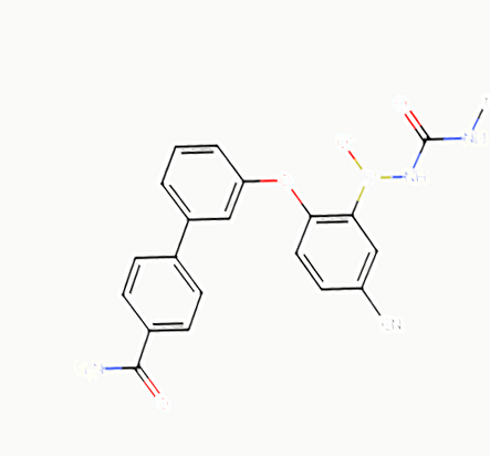 CC(C)(C)NC(=O)N[S+]([O-])c1cc(C#N)ccc1Oc1cccc(-c2ccc(C(N)=O)cc2)c1